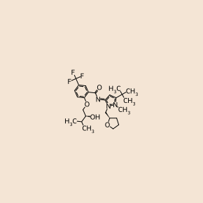 CC(C)[C@H](O)COc1ccc(C(F)(F)F)cc1C(=O)/N=c1\cc(C(C)(C)C)n(C)n1C[C@H]1CCCO1